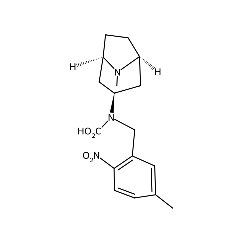 Cc1ccc([N+](=O)[O-])c(CN(C(=O)O)[C@H]2C[C@H]3CC[C@@H](C2)N3C)c1